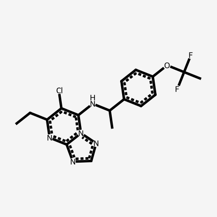 CCc1nc2ncnn2c(NC(C)c2ccc(OC(C)(F)F)cc2)c1Cl